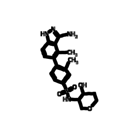 Cc1cc(S(=O)(=O)NC2COCCC2O)ccc1-c1ccc2[nH]nc(N)c2c1C